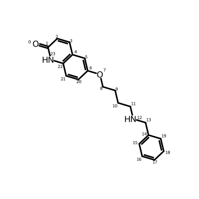 O=c1ccc2cc(OCCCCNCc3ccccc3)ccc2[nH]1